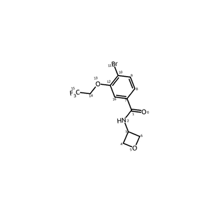 O=C(NC1COC1)c1ccc(Br)c(OCC(F)(F)F)c1